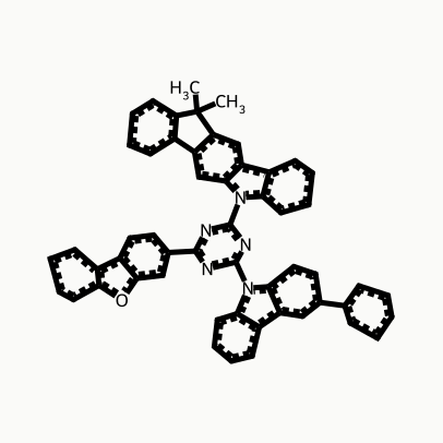 CC1(C)c2ccccc2-c2cc3c(cc21)c1ccccc1n3-c1nc(-c2ccc3c(c2)oc2ccccc23)nc(-n2c3ccccc3c3cc(-c4ccccc4)ccc32)n1